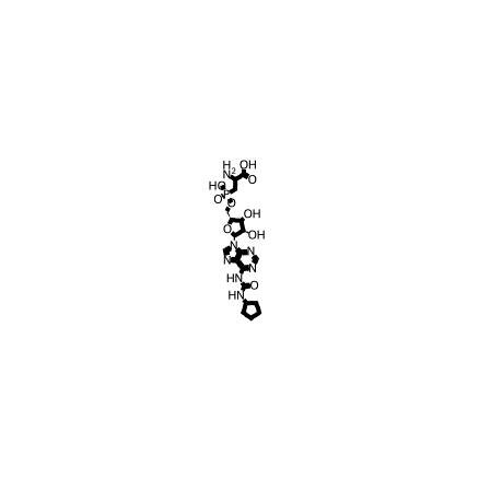 NC(CP(=O)(O)OC[C@H]1O[C@@H](n2cnc3c(NC(=O)NC4CCCC4)ncnc32)[C@@H](O)C1O)C(=O)O